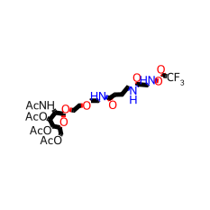 CC(=O)NC1C(OCCOCCNC(=O)CCCNC(=O)CNOC(=O)C(F)(F)F)OC(COC(C)=O)C(OC(C)=O)C1OC(C)=O